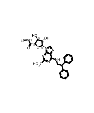 CCNC(=O)[C@H]1O[C@@H](n2cnc3c(NCC(c4ccccc4)c4ccccc4)nc(C(=O)O)nc32)[C@@H](O)[C@@H]1O